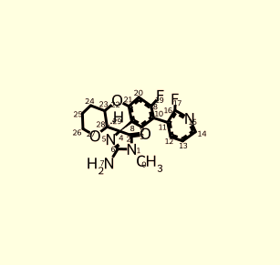 CN1C(=O)[C@@]2(N=C1N)c1cc(-c3cccnc3F)c(F)cc1OC1CCCO[C@@H]12